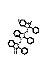 CN1c2ccccc2NC1c1ccccc1.CN1c2ccccc2NC1c1ccccc1.CN1c2ccccc2NC1c1ccccc1.[Ir+3]